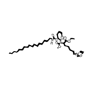 CCCCCCCCCCCCCCCCCNC(=O)O[C@@H]1CCCO[C@H]1N(C(=O)OC)C(CCCCC[n+]1ccsc1)C(=O)OCC